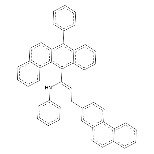 C(/Cc1ccc2c(ccc3ccccc32)c1)=C(/Nc1ccccc1)c1c2ccccc2c(-c2ccccc2)c2ccc3ccccc3c12